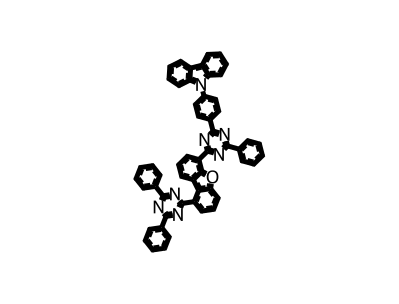 c1ccc(-c2nc(-c3ccc(-n4c5ccccc5c5ccccc54)cc3)nc(-c3cccc4c3oc3cccc(-c5nc(-c6ccccc6)nc(-c6ccccc6)n5)c34)n2)cc1